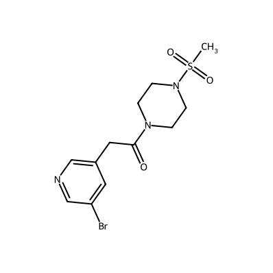 CS(=O)(=O)N1CCN(C(=O)Cc2cncc(Br)c2)CC1